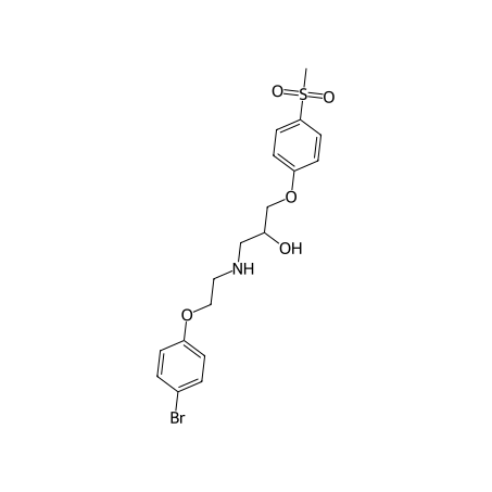 CS(=O)(=O)c1ccc(OCC(O)CNCCOc2ccc(Br)cc2)cc1